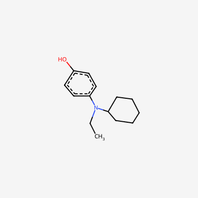 CCN(c1ccc(O)cc1)C1CCCCC1